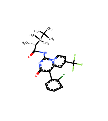 C[C@@H](C(=O)Nc1nc(=O)c(-c2ccccc2Cl)c2cc(C(F)(F)F)ccn12)[Si](C)(C)C(C)(C)C